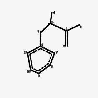 C=C(C)[C](C)Cc1ccccc1